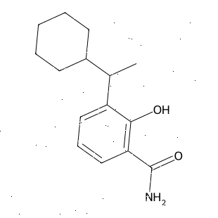 CC(c1cccc(C(N)=O)c1O)C1CCCCC1